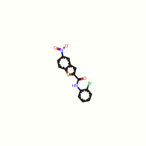 O=C(Nc1ccccc1Br)c1cc2cc([N+](=O)[O-])ccc2s1